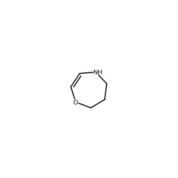 [CH]1CNC=COC1